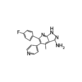 Cc1c(-c2ccncc2)c(-c2ccc(F)cc2)nc2[nH]nc(N)c12